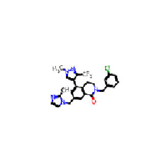 Cc1nccn1Cc1cc2c(c(-c3cn(C)nc3C(F)(F)F)c1)CCN(Cc1cccc(Cl)c1)C2=O